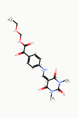 CCOCOC(=O)C(=O)c1ccc(NC=C2C(=O)N(C)C(=O)N(C)C2=O)cc1